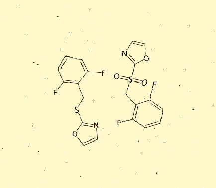 Fc1cccc(F)c1CSc1ncco1.O=S(=O)(Cc1c(F)cccc1F)c1ncco1